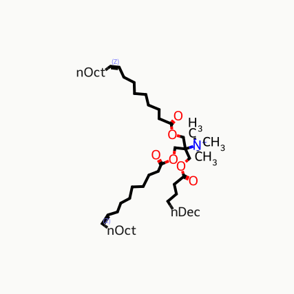 CCCCCCCC/C=C\CCCCCCCC(=O)OCC(COC(=O)CCCCCCC/C=C\CCCCCCCC)(COC(=O)CCCCCCCCCCCCC)[N+](C)(C)C